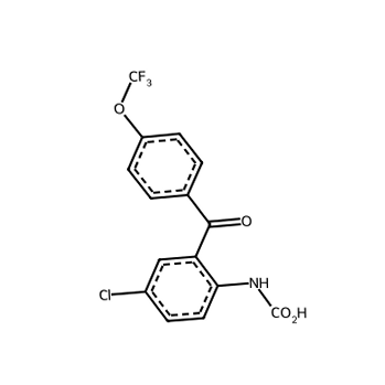 O=C(O)Nc1ccc(Cl)cc1C(=O)c1ccc(OC(F)(F)F)cc1